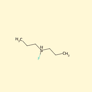 CCC[SiH](F)CCC